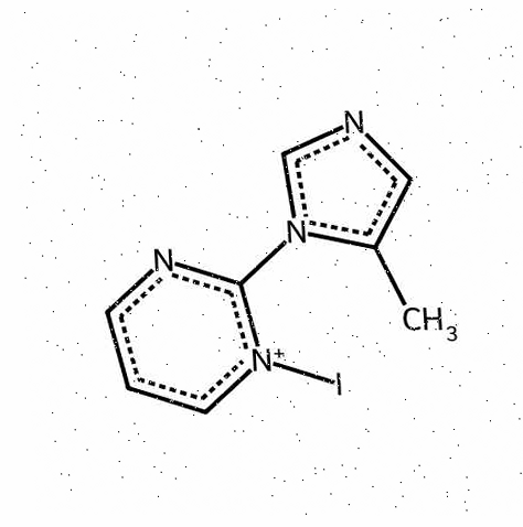 Cc1cncn1-c1nccc[n+]1I